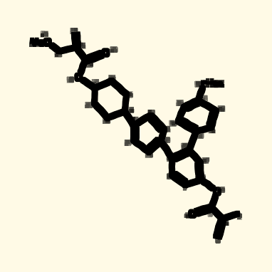 C=C(C)C(=O)Oc1ccc(-c2ccc(C3CCC(OC(=O)C(=C)COC)CC3)cc2)c(-c2ccc(CCCCCC)cc2)c1